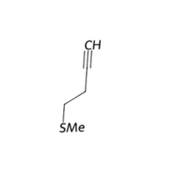 C#CCCS[CH2]